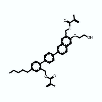 C=C(C)C(=O)OCc1cc2cc(-c3ccc(-c4ccc(CCCCC)cc4COC(=O)C(=C)C)cc3)ccc2cc1OCCO